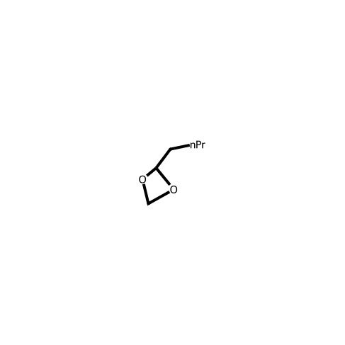 CCCCC1OCO1